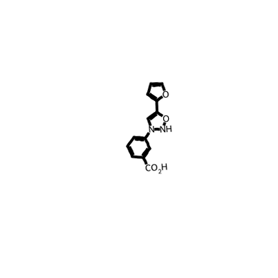 O=C(O)c1cccc(N2C=C(c3ccco3)ON2)c1